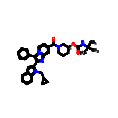 CC(C)(C)NC(=O)O[C@@H]1CCCN(C(=O)c2ccn3c(-c4ccccc4)c(-c4cc5ccccc5n4CC4CC4)nc3c2)C1